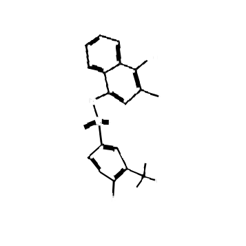 O=S(=O)(Nc1cc(Cl)c(O)c2ccccc12)c1ccc(Br)c(C(F)(F)F)c1